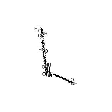 CCCNC(=O)COCCOCCNC(=O)COCCOCCNC(=O)CC[C@H](NC(=O)CCCCCCCCCCCCC(=O)O)C(=O)O